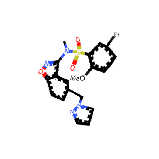 CCc1ccc(OC)c(S(=O)(=O)N(C)c2noc3ccc(Cn4cccn4)cc23)c1